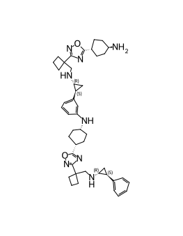 N[C@H]1CC[C@H](c2nc(C3(CN[C@@H]4C[C@H]4c4cccc(N[C@H]5CC[C@@H](c6nc(C7(CN[C@@H]8C[C@H]8c8ccccc8)CCC7)no6)CC5)c4)CCC3)no2)CC1